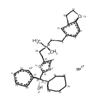 C[N+](C)(CCc1ccc2c(c1)CCO2)Cc1cnc([C@](O)(c2ccccc2)C2CCCCC2)o1.[Br-]